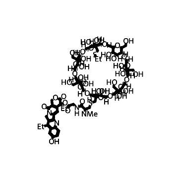 CCSCC1O[C@H]2O[C@@H]3C(CO)O[C@@H](O[C@@H]4C(CO)O[C@@H](O[C@@H]5C(CSC[C@@H](NC)C(=O)NCC(=O)O[C@@]6(CC)C(=O)OCc7c6cc6n(c7=O)Cc7c-6nc6ccc(O)cc6c7CC)O[C@@H](O[C@@H]6C(CO)O[C@H](O[C@@H]7C(CO)O[C@H](O[C@@H]8C(CO)O[C@@H](O[C@H]1[C@H](O)C2O)C(O)[C@H]8O)C(O)[C@H]7O)C(O)[C@H]6O)C(O)[C@H]5O)C(O)[C@H]4O)C(O)[C@H]3O